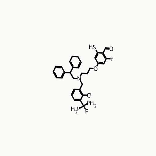 O=Cc1c(F)cc(OCCCN(Cc2cccc(C(F)(P)P)c2Cl)CC(C2=CCCC=C2)c2ccccc2)cc1S